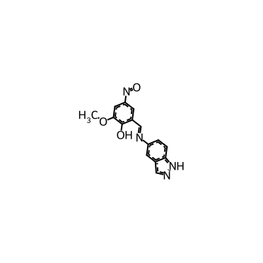 COc1cc(N=O)cc(/C=N/c2ccc3[nH]ncc3c2)c1O